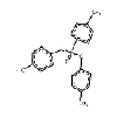 Cc1ccc(OP(=O)(Oc2ccc(C)cc2)c2ccc(C)cc2)cc1